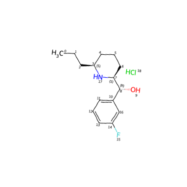 CCC[C@H]1CCC[C@@H]([C@H](O)c2cccc(F)c2)N1.Cl